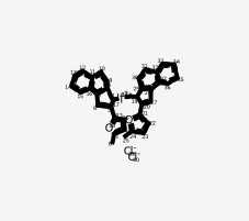 Cc1ccc(C2=Cc3c(ccc4ccccc34)[CH]2[Hf+2][CH]2C(c3ccc(C)o3)=Cc3c2ccc2ccccc32)o1.[Cl-].[Cl-]